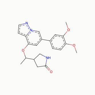 COc1ccc(-c2cc(OC(C)C3CNC(=O)C3)c3ccnn3c2)cc1OC